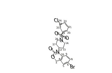 O=C1OCc2cc(Br)ccc2N1C1CCN(S(=O)(=O)c2cccc(Cl)c2)CC1